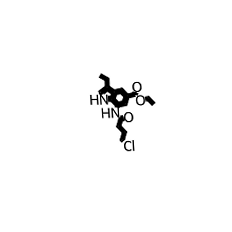 CCOC(=O)c1cc(NC(=O)CCCCl)c2[nH]cc(CC)c2c1